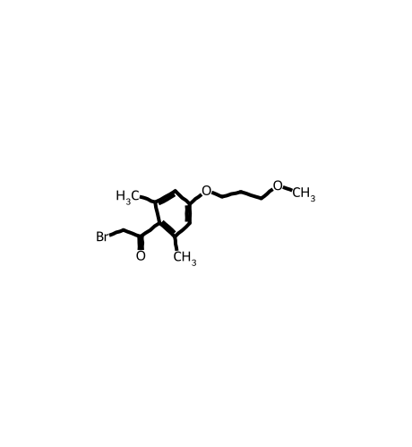 COCCCOc1cc(C)c(C(=O)CBr)c(C)c1